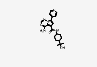 CC(C)(O)C1CCC(NC(=O)c2cc(-c3ccncc3)n3ncnc(N)c23)CC1